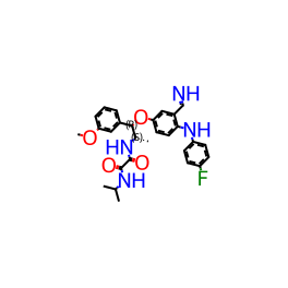 COc1cccc([C@@H](Oc2ccc(Nc3ccc(F)cc3)c(C=N)c2)[C@H](C)NC(=O)C(=O)NC(C)C)c1